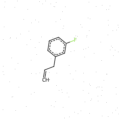 [CH]=CCc1cccc(F)c1